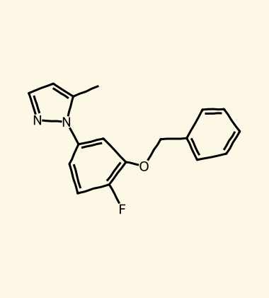 Cc1ccnn1-c1ccc(F)c(OCc2ccccc2)c1